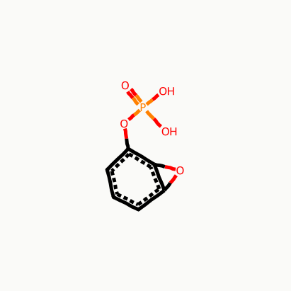 O=P(O)(O)Oc1cccc2c1O2